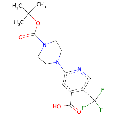 CC(C)(C)OC(=O)N1CCN(c2cc(C(=O)O)c(C(F)(F)F)cn2)CC1